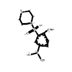 COc1ccc(B(O)O)cc1S(=O)(=O)N1CCOCC1